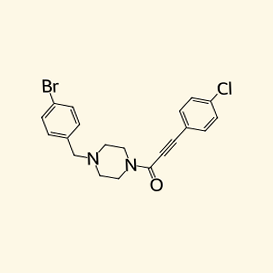 O=C(C#Cc1ccc(Cl)cc1)N1CCN(Cc2ccc(Br)cc2)CC1